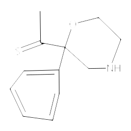 CC(=S)C1(c2ccccc2)CNCCO1